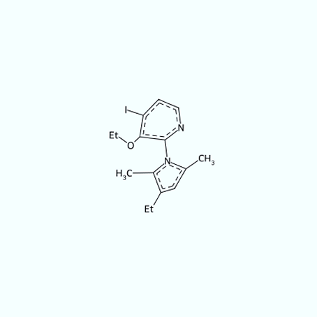 CCOc1c(I)ccnc1-n1c(C)cc(CC)c1C